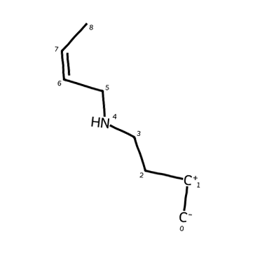 [CH2-][CH+]CCNC/C=C\C